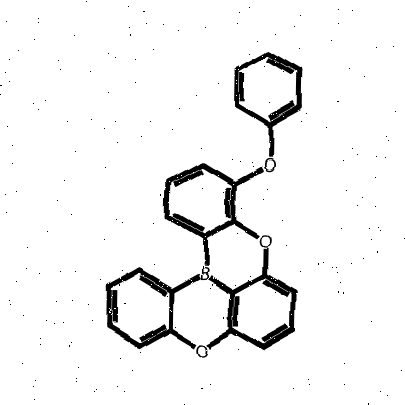 c1ccc(Oc2cccc3c2Oc2cccc4c2B3c2ccccc2O4)cc1